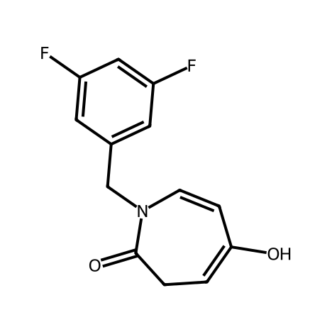 O=C1CC=C(O)C=CN1Cc1cc(F)cc(F)c1